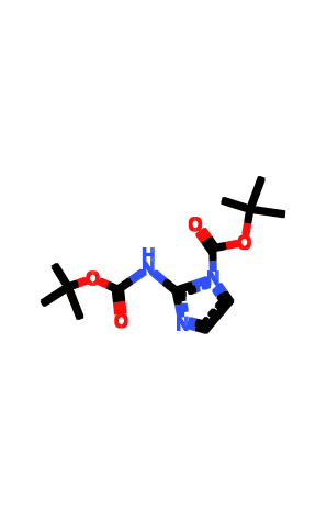 CC(C)(C)OC(=O)Nc1nccn1C(=O)OC(C)(C)C